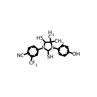 CC1(C)C(S)N(c2ccc(C#N)c(C(F)(F)F)c2)C(S)N1c1ccc(O)cc1